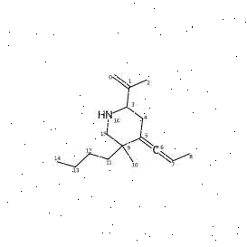 C=C(C)C1CC(=C=CC)C(C)(CCCC)CN1